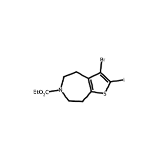 CCOC(=O)N1CCc2sc(I)c(Br)c2CC1